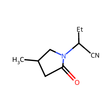 CCC(C#N)N1CC(C)CC1=O